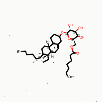 CCCCCCCCCCCCCCCC(=O)OC[C@H]1O[C@@H](OC2CC[C@@]3(C)C(=CC[C@H]4[C@@H]5CC[C@H]([C@H](C)CCCC(C)C)[C@@]5(C)CC[C@@H]43)C2)[C@H](O)[C@@H](O)[C@H]1O